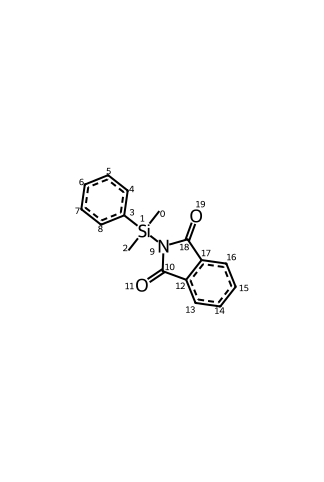 C[Si](C)(c1ccccc1)N1C(=O)c2ccccc2C1=O